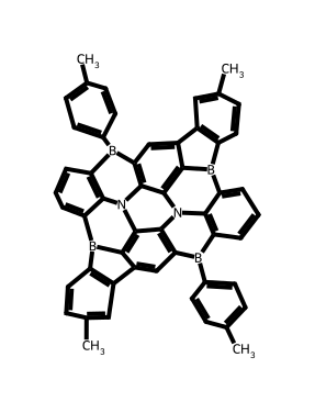 Cc1ccc(B2c3cccc4c3N3c5c2cc2c6c5N5c7c(cccc7B6c6ccc(C)cc6-2)B(c2ccc(C)cc2)c2cc6c(c3c25)B4c2ccc(C)cc2-6)cc1